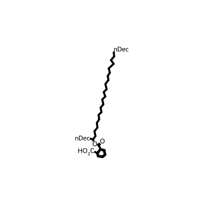 CCCCCCCCCCCCCCCCCCCCCCCCCCCCCCCCC(CCCCCCCCCC)OC(=O)c1ccccc1C(=O)O